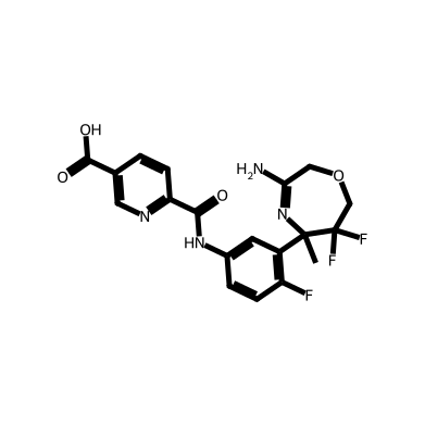 CC1(c2cc(NC(=O)c3ccc(C(=O)O)cn3)ccc2F)N=C(N)COCC1(F)F